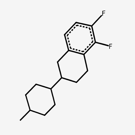 CC1CCC(C2CCc3c(ccc(F)c3F)C2)CC1